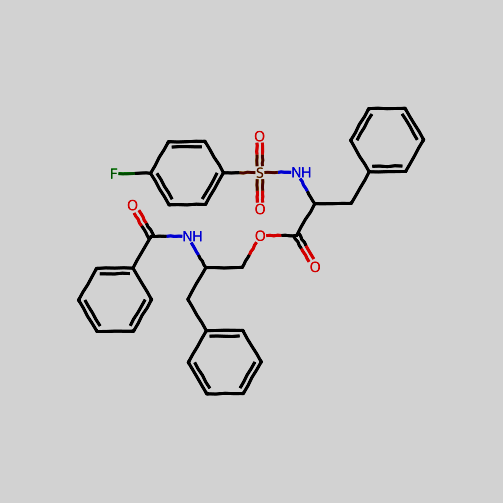 O=C(NC(COC(=O)C(Cc1ccccc1)NS(=O)(=O)c1ccc(F)cc1)Cc1ccccc1)c1ccccc1